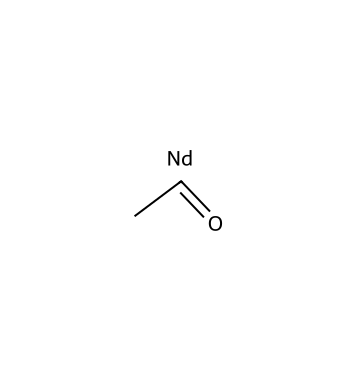 CC=O.[Nd]